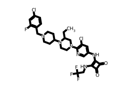 CCC1CN(c2ncc(Nc3c(NCC(F)(F)F)c(=O)c3=O)cc2Cl)CCN1C1CCN(Cc2ccc(Cl)cc2F)CC1